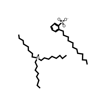 CCCCCCCCCCCCc1ccccc1S(=O)(=O)[O-].CCCCCCCC[P+](C)(CCCCCCCC)CCCCCCCC